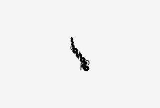 CCCCCCOc1ccc(N2CCN(c3ccc(C(=O)n4nnc5ccccc54)cc3)CC2)cc1